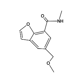 CNC(=O)c1cc(COC)cc2ccoc12